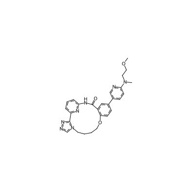 COCCN(C)c1ccc(-c2ccc3c(c2)C(=O)Nc2cccc(n2)-c2nncn2CCCCO3)cn1